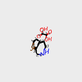 O=C(O)C(=O)O.c1cc2c(s1)CNCC2